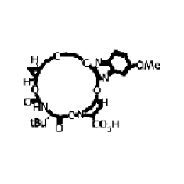 COc1ccc2nc3c(nc2c1)O[C@@H]1C[C@@H](C(=O)O)N(CC(=O)[C@H](C(C)(C)C)NC(=O)O[C@@H]2C[C@H]2CCCCC3)C1